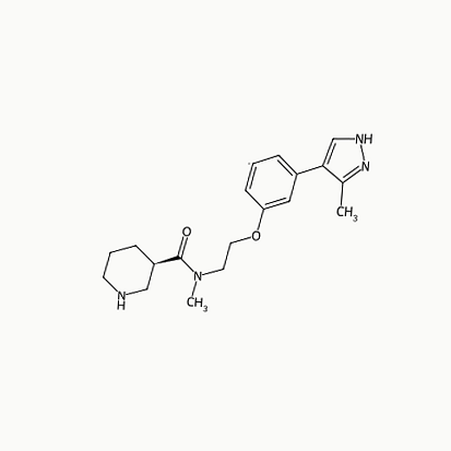 Cc1n[nH]cc1-c1c[c]cc(OCCN(C)C(=O)[C@@H]2CCCNC2)c1